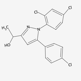 CC(O)c1cc(-c2ccc(Cl)cc2)n(-c2ccc(Cl)cc2Cl)n1